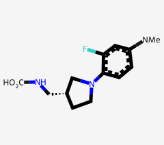 CNc1ccc(N2CC[C@H](CNC(=O)O)C2)c(F)c1